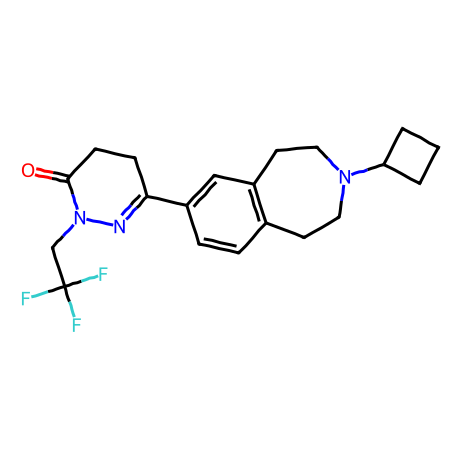 O=C1CCC(c2ccc3c(c2)CCN(C2CCC2)CC3)=NN1CC(F)(F)F